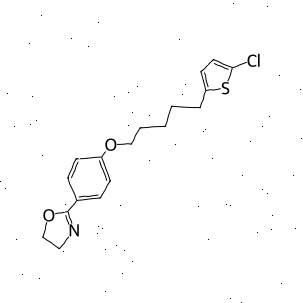 Clc1ccc(CCCCCOc2ccc(C3=NCCO3)cc2)s1